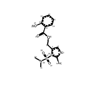 CC(=O)c1ncc(COC(=O)c2ccccc2O)n1S(=O)(=O)N(C)C